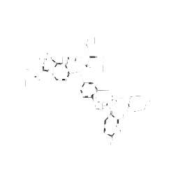 COC(=O)C(C)(C)C(c1ccc(C)c(CN2CC3(CCOCC3)Oc3nc(Cl)ccc3S2(O)O)c1)c1ccn2c(C(F)(F)F)nnc2c1C